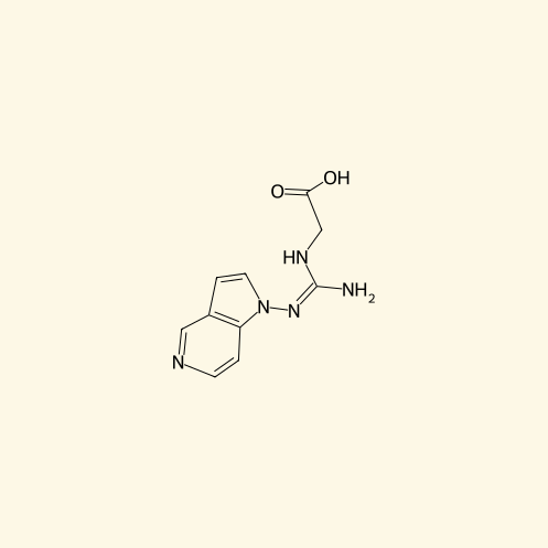 NC(=Nn1ccc2cnccc21)NCC(=O)O